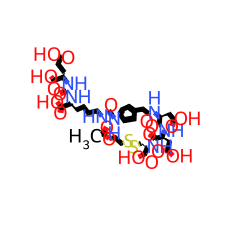 CC(=O)OCCSSC[C@H](NC(=O)[C@H](CC(=O)O)NC(=O)[C@H](CC(=O)O)NC(=O)Cc1ccc(NC(=O)NCCCC[C@H](NC(=O)N[C@@H](CCC(=O)O)C(=O)O)C(=O)O)cc1)C(=O)O